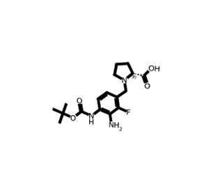 CC(C)(C)OC(=O)Nc1ccc(CN2CCC[C@@H]2C(=O)O)c(F)c1N